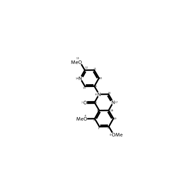 COc1cc(OC)c2c(=O)n(-c3ccc(OC)nc3)cnc2c1